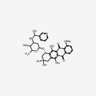 COc1cccc2c1C(=O)c1c(O)c3c(c(O)c1C2=O)C[C@@](O)(C(C)=O)C[C@@H]3OC1CC(NC(C#N)c2cccnc2)C(O)C(C)O1